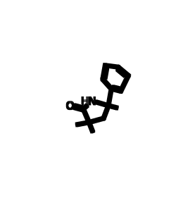 CC1(C)CC(C)(c2ccccc2)NC1=O